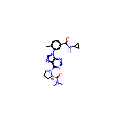 Cc1ccc(C(=O)NC2CC2)cc1-n1cnc2c(N3CCC[C@H]3C(=O)N(C)C)ncnc21